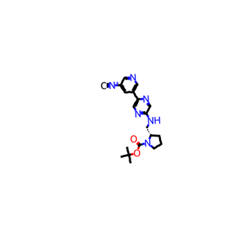 [C-]#[N+]c1cncc(-c2cnc(NC[C@@H]3CCCN3C(=O)OC(C)(C)C)cn2)c1